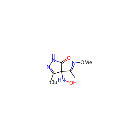 CON=C(C)C1(NO)C(=O)NN=C1C(C)(C)C